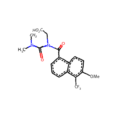 COc1ccc2c(C(=O)N(CC(=O)O)C(=O)N(C)C)cccc2c1C(F)(F)F